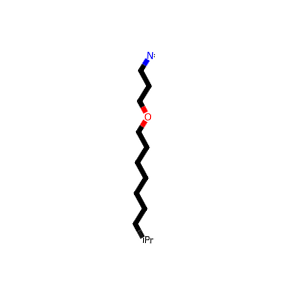 CC(C)CCCCCCCOCCC[N]